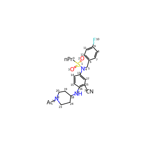 CCCS(=O)(=O)N(Cc1ccc(F)cc1)c1ccc(NC2CCN(C(C)=O)CC2)c(C#N)c1